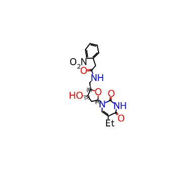 CCc1cn([C@H]2C[C@H](O)[C@@H](CNC(=O)Cc3ccccc3[N+](=O)[O-])O2)c(=O)[nH]c1=O